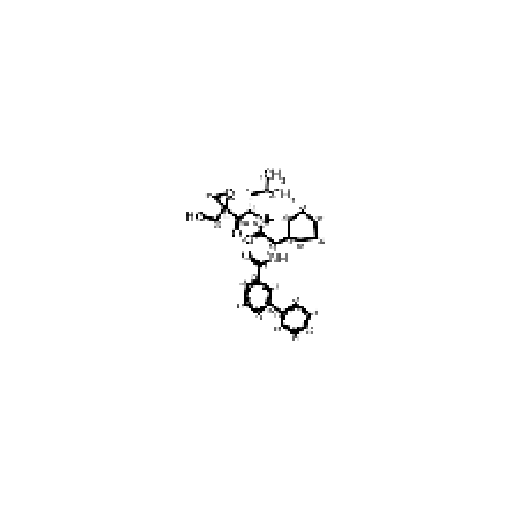 CC(C)C[C@H](NC(=O)[C@@H](NC(=O)c1cccc(-c2ccccc2)c1)C1CCCCC1)C(=O)C1(CO)CO1